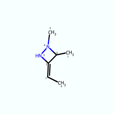 C/C=C1/NN(C)C1C